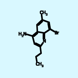 CCCc1cc(N)c2cc(C)cc(Br)c2n1